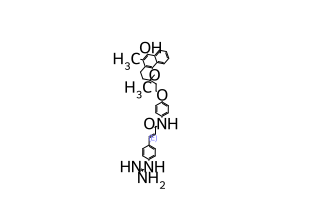 Cc1c2c(c3ccccc3c1O)OC(C)(CCOc1ccc(NC(=O)/C=C/c3ccc(NC(=N)N)cc3)cc1)CC2